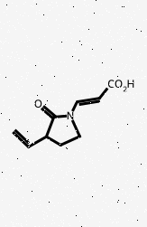 C=CC1CCN(C=CC(=O)O)C1=O